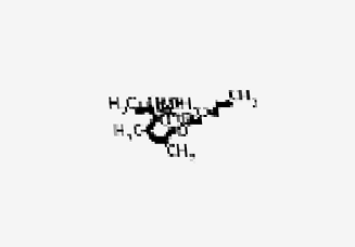 C=CCCOCCOC/C(C)=C\[C@@H](C)[C@H](O[Si](C)(C)C(C)(C)C)[C@H](C=C)OC